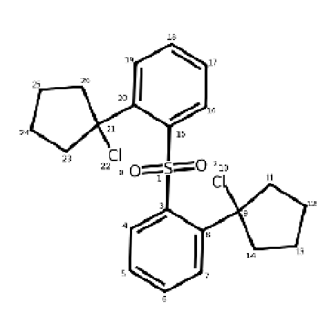 O=S(=O)(c1ccccc1C1(Cl)CCCC1)c1ccccc1C1(Cl)CCCC1